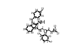 Cc1ccc(C[C@@H](COCCN(C)C)n2c(=N)n(Cc3ccc(C)cc3)c3ccccc32)cc1